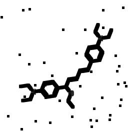 CCOC(C=CC=Cc1ccc(N(CC)CC)cc1)c1ccc(N(CC)CC)cc1